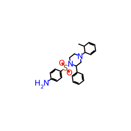 CC1C=CC=CC1N1CCN(S(=O)(=O)c2ccc(N)cc2)C(c2ccccc2)C1